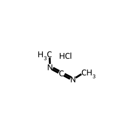 CN=C=NC.Cl